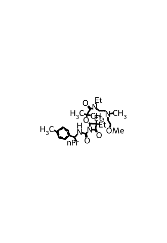 CCCC(NC(=O)N1C(=O)C(CC)(CC)C1OC(C)(C)C(=O)N(CC)CCN(C)CCOC)c1ccc(C)cc1